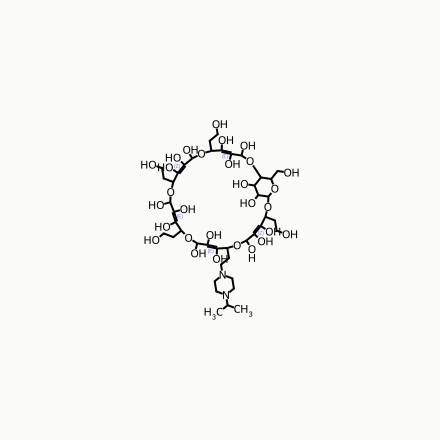 CC(C)N1CCN(CCC2OC(O)/C(O)=C(/O)C(CCO)OC3OC(CO)C(OC(O)/C(O)=C(\O)C(CCO)OC(O)/C(O)=C(/O)C(CCO)OC(O)/C(O)=C(\O)C(CCO)OC(O)/C(O)=C/2O)C(O)C3O)CC1